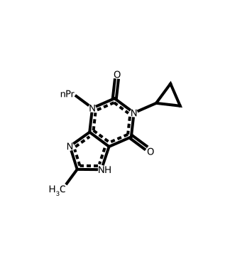 CCCn1c(=O)n(C2CC2)c(=O)c2[nH]c(C)nc21